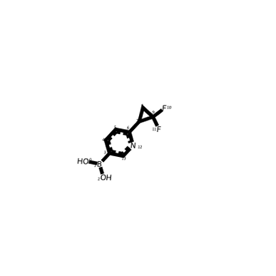 OB(O)c1ccc(C2CC2(F)F)nc1